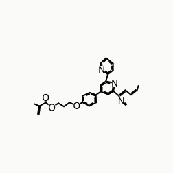 C=N/C(=C\C=C/C)c1cc(-c2ccc(OCCCOC(=O)C(=C)C)cc2)cc(-c2ccccn2)n1